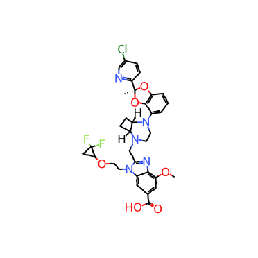 COc1cc(C(=O)O)cc2c1nc(CN1CCN(c3cccc4c3O[C@@](C)(c3ccc(Cl)cn3)O4)[C@H]3CC[C@H]31)n2CCOC1CC1(F)F